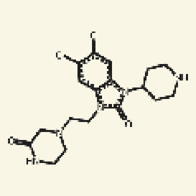 O=C1CN(CCn2c(=O)n(C3CCNCC3)c3cc(Cl)c(Cl)cc32)CCN1